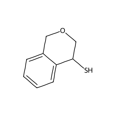 SC1COCc2ccccc21